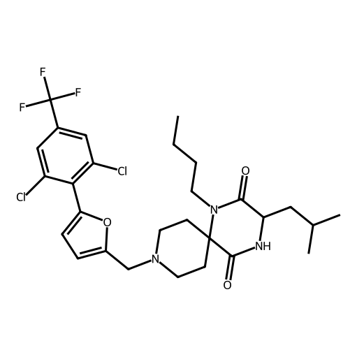 CCCCN1C(=O)C(CC(C)C)NC(=O)C12CCN(Cc1ccc(-c3c(Cl)cc(C(F)(F)F)cc3Cl)o1)CC2